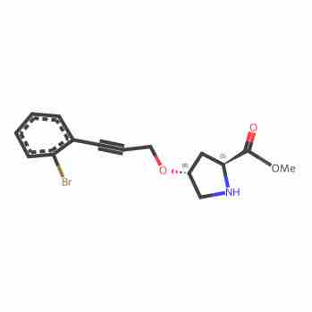 COC(=O)[C@@H]1C[C@@H](OCC#Cc2ccccc2Br)CN1